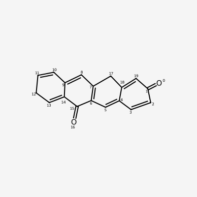 O=C1C=CC2=CC3=C(C=C4C=CCC=C4C3=O)CC2=C1